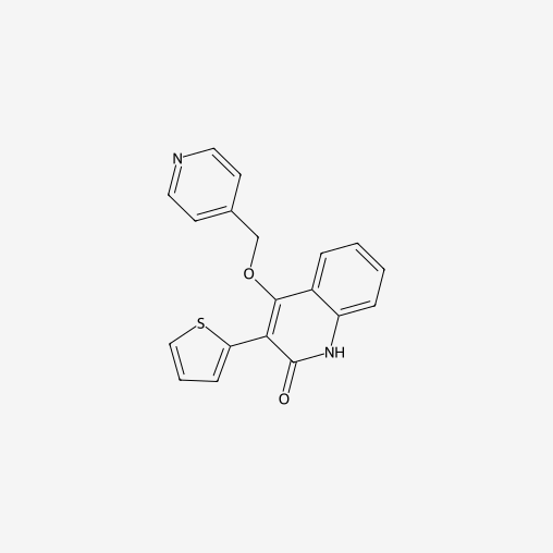 O=c1[nH]c2ccccc2c(OCc2ccncc2)c1-c1cccs1